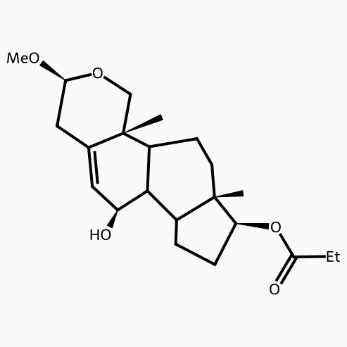 CCC(=O)O[C@H]1CCC2C3C(CC[C@@]21C)[C@@]1(C)CO[C@H](OC)CC1=C[C@@H]3O